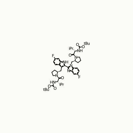 CC(C)[C@H](NC(=O)OC(C)(C)C)C(=O)N1CCC[C@H]1Cc1c(-c2nc3cc(F)ccc3n2C[C@@H]2CCCN2C(=O)[C@@H](NC(=O)OC(C)(C)C)C(C)C)[nH]c2cc(F)ccc12